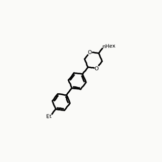 CCCCCCC1COC(c2ccc(-c3ccc(CC)cc3)cc2)CO1